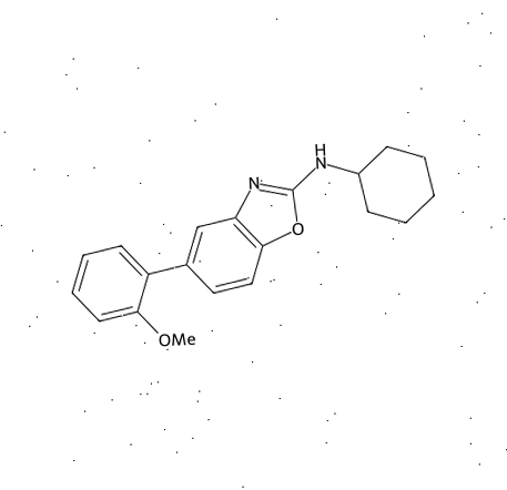 COc1ccccc1-c1ccc2oc(NC3CCCCC3)nc2c1